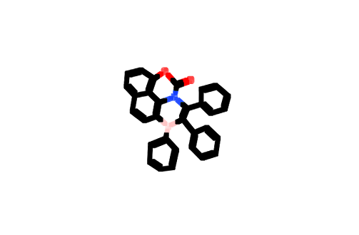 O=C1Oc2cccc3ccc4c(c23)N1C(c1ccccc1)=C(c1ccccc1)B4c1ccccc1